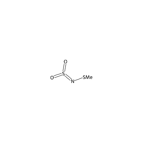 [C]SN=S(=O)=O